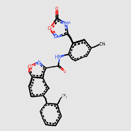 N#Cc1ccc(NC(=O)c2noc3ccc(-c4ccccc4C(F)(F)F)cc23)c(-c2noc(=O)[nH]2)c1